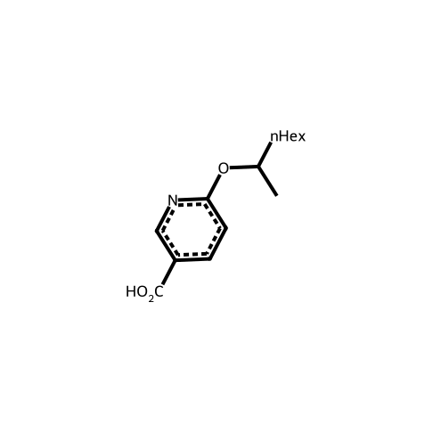 CCCCCCC(C)Oc1ccc(C(=O)O)cn1